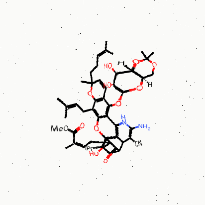 COC(=O)/C(C)=C\CC1(O)C(=O)C2CC(C(C)C)C13Oc1c(CC=C(C)C)c4c(c(O[C@@H]5O[C@@H]6COC(C)(C)O[C@H]6[C@H](O)[C@H]5O)c1C1=C3C2C(C#N)=C(N)N1)C=CC(C)(CCC=C(C)C)O4